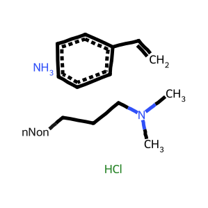 C=Cc1ccccc1.CCCCCCCCCCCCN(C)C.Cl.N